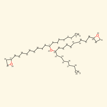 CCCCCCCC(CCCCCCCCCC1CCO1)OC(CCCCCCC)CCCCCCCCCC1CCO1